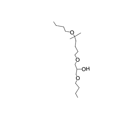 CCCCOCC(O)COCCCCC(C)(C)OCCCC